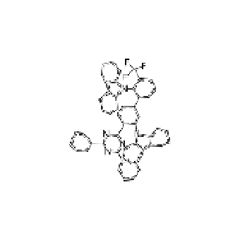 FC(F)(F)c1cccc(-c2ccc(-c3nc(-c4ccccc4)nc(-c4ccccc4)n3)c(-n3c4ccccc4c4ccccc43)c2)c1-n1c2ccccc2c2ccccc21